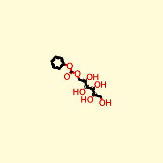 O=C(OC[C@H](O)[C@@H](O)[C@H](O)[C@H](O)CO)Oc1ccccc1